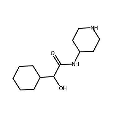 O=C(NC1CCNCC1)C(O)C1CCCCC1